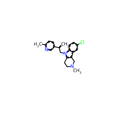 C=C(Cn1c2c(c3cc(Cl)ccc31)CN(C)CC2)c1ccc(C)nc1